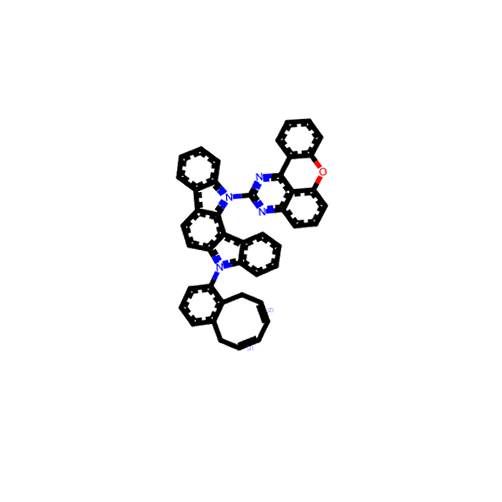 C1=C\Cc2cccc(-n3c4ccccc4c4c3ccc3c5ccccc5n(-c5nc6c7c(cccc7n5)Oc5ccccc5-6)c34)c2C\C=C/1